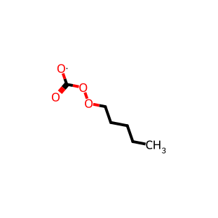 CCCCCOOC([O])=O